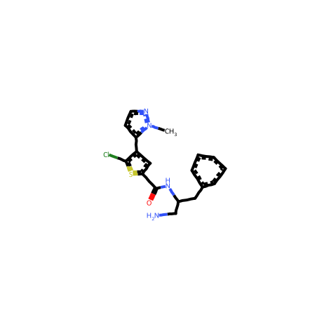 Cn1nccc1-c1cc(C(=O)NC(CN)Cc2ccccc2)sc1Cl